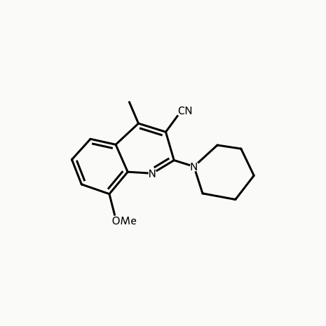 COc1cccc2c(C)c(C#N)c(N3CCCCC3)nc12